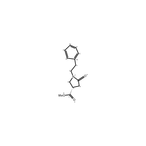 COC(=O)[C@H]1CC(=O)N(CCc2ccccc2)C1